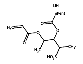 [CH2]C(C(OC(=O)CCCCC)C(C)OC(=O)C=C)S(=O)(=O)O.[LiH]